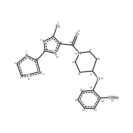 CCc1nc(-c2ncccn2)sc1C(=O)N1CCC(Oc2ccccc2OC)CC1